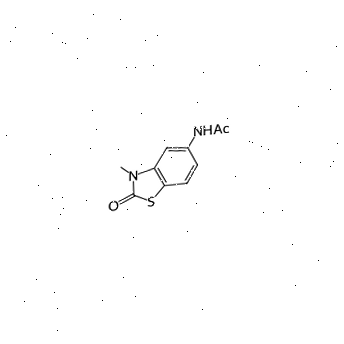 CC(=O)Nc1ccc2sc(=O)n(C)c2c1